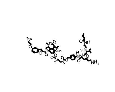 CCCC(=O)NCCN[C@H](C(=O)NC(CCCCN)C(=O)Nc1ccc(COC(=O)N(C)CCN(C)C(=O)Oc2cc3c(c4c(C(=O)OC)c(C)[nH]c24)[C@H](CC)CN3C(=O)c2cc3cc(OCCN(C)C)ccc3o2)cc1)C(C)C